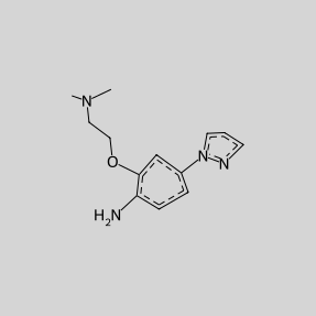 CN(C)CCOc1cc(-n2cccn2)ccc1N